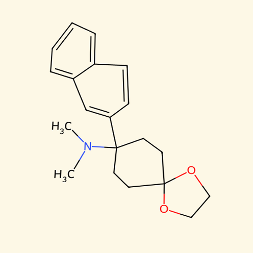 CN(C)C1(c2ccc3ccccc3c2)CCC2(CC1)OCCO2